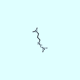 CN(C)CCCN=C=[N+](C)C